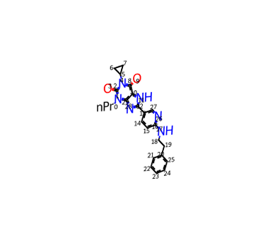 CCCn1c(=O)n(C2CC2)c(=O)c2[nH]c(-c3ccc(NCCc4ccccc4)nc3)nc21